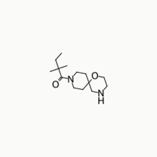 CCC(C)(C)C(=O)N1CCC2(CC1)CNCCO2